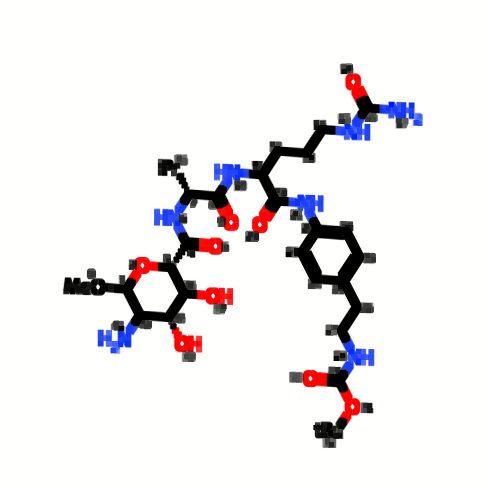 COC1O[C@H](C(=O)N[C@@H](C(=O)NC(CCCNC(N)=O)C(=O)Nc2ccc(CCNC(=O)OC(C)(C)C)cc2)C(C)C)C(O)[C@H](O)C1N